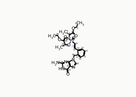 CCOC(=O)[C@H](C)NP(=O)(/C=C/c1ccccc1Cn1cnc2c(=O)[nH]c(N)nc21)O[C@@H](C)C(=O)OCC